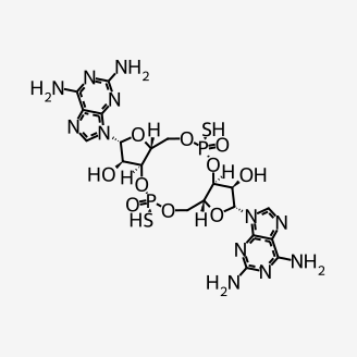 Nc1nc(N)c2ncn([C@@H]3O[C@@H]4CO[P@@](=O)(S)O[C@H]5[C@@H](O)[C@H](n6cnc7c(N)nc(N)nc76)O[C@@H]5CO[P@](=O)(S)O[C@H]4[C@H]3O)c2n1